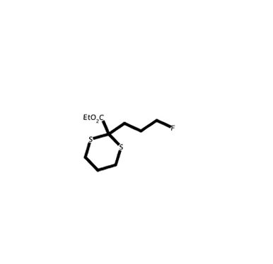 CCOC(=O)C1(CCCF)SCCCS1